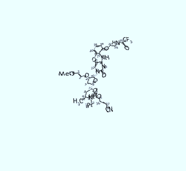 COCCO[C@@H]1C[C@@H](C(CC(C)NC(C)C)OPOCCC#N)O[C@H]1n1cc2c(nc1=O)Nc1c(OCCNC(=O)C(F)(F)F)cccc1O2